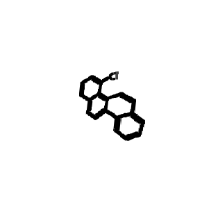 Clc1cccc2ccc3c4ccccc4ccc3c12